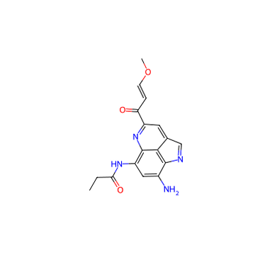 CCC(=O)Nc1cc(N)c2c3c(cc(C(=O)C=COC)nc13)C=N2